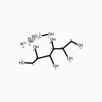 O.O=C(O)O.OCC(O)C(O)C(O)C(O)CO.[Al+3].[Na+]